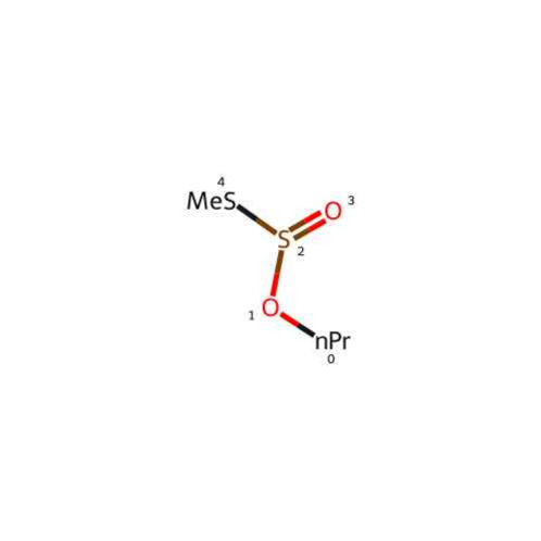 CCCOS(=O)SC